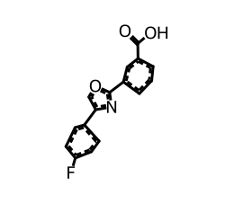 O=C(O)c1cccc(-c2nc(-c3ccc(F)cc3)co2)c1